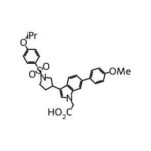 COc1ccc(-c2ccc3c(C4CCN(S(=O)(=O)c5ccc(OC(C)C)cc5)C4)cn(CC(=O)O)c3c2)cc1